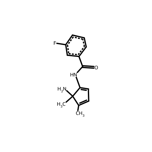 CC1=CC=C(NC(=O)c2cccc(F)c2)C1(C)N